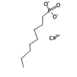 CCCCCCCCP(=O)([O-])[O-].[Ca+2]